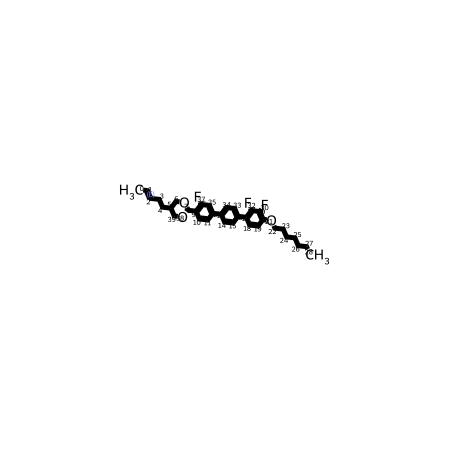 C/C=C/CCC1COC(c2ccc(-c3ccc(-c4ccc(OCCCCCCC)c(F)c4F)cc3)cc2F)OC1